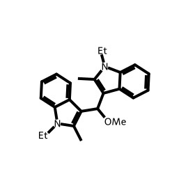 CCn1c(C)c(C(OC)c2c(C)n(CC)c3ccccc23)c2ccccc21